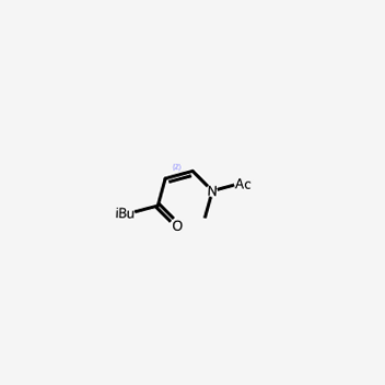 CCC(C)C(=O)/C=C\N(C)C(C)=O